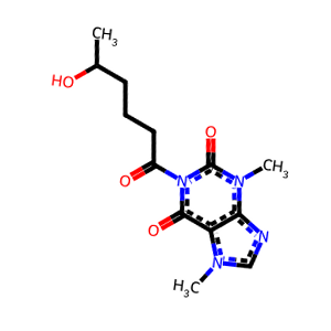 CC(O)CCCC(=O)n1c(=O)c2c(ncn2C)n(C)c1=O